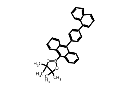 CC1(C)OB(c2c3ccccc3c(-c3ccc(-c4cccc5ccccc45)cc3)c3ccccc23)OC1(C)C